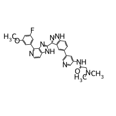 COc1cc(F)cc(-c2nccc3[nH]c(-c4n[nH]c5ccc(-c6cncc(NC(=O)CN(C)C)c6)cc45)nc23)c1